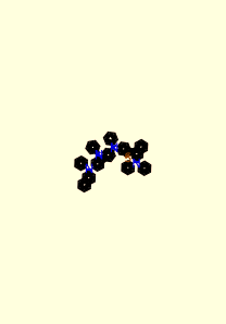 C1=CC(N(c2ccc3c(c2)sc2c(N(c4ccccc4)c4ccccc4)cc4ccccc4c23)c2ccc3c4ccc(N(c5ccccc5)c5ccc6ccccc6c5)cc4n(-c4ccccc4)c3c2)=CCC1